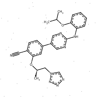 CC(C)Oc1ccccc1Nc1ncc(-c2ccc(C#N)c(O[C@H](C)Cn3cnnn3)c2)cn1